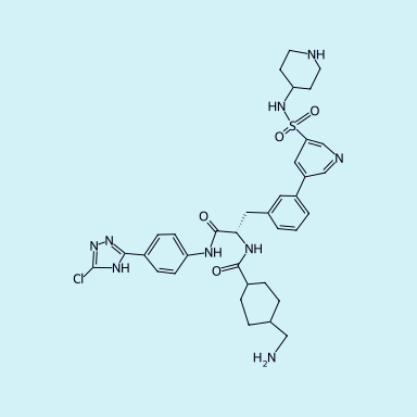 NCC1CCC(C(=O)N[C@@H](Cc2cccc(-c3cncc(S(=O)(=O)NC4CCNCC4)c3)c2)C(=O)Nc2ccc(-c3nnc(Cl)[nH]3)cc2)CC1